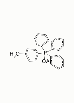 CC(=O)OP(c1ccccc1)(c1ccccc1)(c1ccccc1)c1ccc(C)cc1